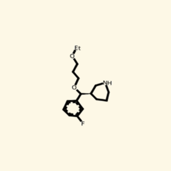 CCOCCCOC(c1cccc(F)c1)[C@@H]1CCCNC1